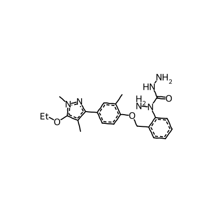 CCOc1c(C)c(-c2ccc(OCc3ccccc3N(N)C(=O)NN)c(C)c2)nn1C